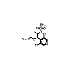 COCO[C@H](c1c(Cl)cncc1Cl)[C@@H](C)OS(N)(=O)=O